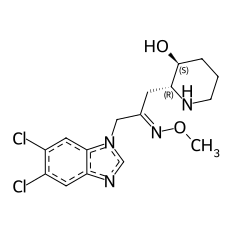 CON=C(C[C@H]1NCCC[C@@H]1O)Cn1cnc2cc(Cl)c(Cl)cc21